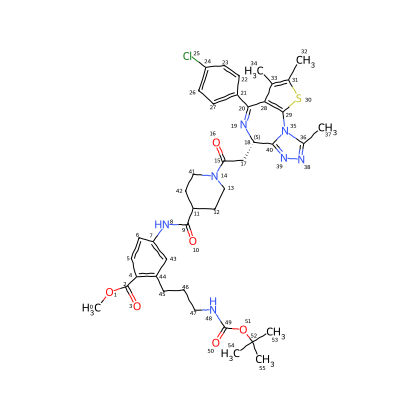 COC(=O)c1ccc(NC(=O)C2CCN(C(=O)C[C@@H]3N=C(c4ccc(Cl)cc4)c4c(sc(C)c4C)-n4c(C)nnc43)CC2)cc1CCCNC(=O)OC(C)(C)C